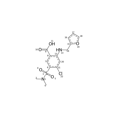 CN(C)S(=O)(=O)c1cc(C(=O)O)c(NCc2ccco2)cc1Cl